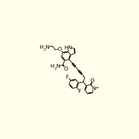 Cn1cccc(C(CC#CC#Cc2c(C(N)=O)cc(OCCN)c3[nH]ccc23)c2cc(F)ccc2F)c1=O